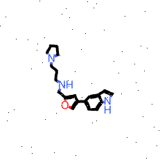 c1cc2cc(-c3coc(CNCCCN4CCCC4)c3)ccc2[nH]1